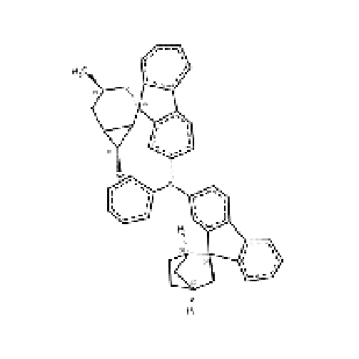 CC[C@H]1C2C[C@@H](C)C[C@@]3(c4ccccc4-c4ccc(N(c5ccccc5)c5ccc6c(c5)[C@]5(C[C@H]7CC[C@@H]5C7)c5ccccc5-6)cc43)C21